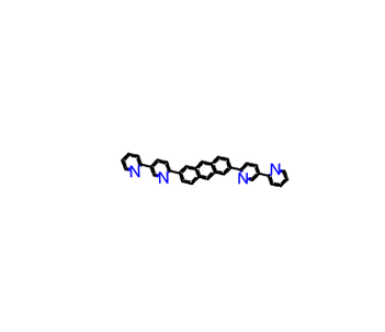 c1ccc(-c2ccc(-c3ccc4cc5cc(-c6ccc(-c7ccccn7)cn6)ccc5cc4c3)nc2)nc1